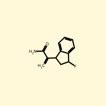 C=C(C(N)=O)C1CC(F)c2ccccc21